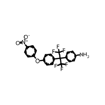 Nc1ccc(C(c2ccc(Oc3ccc([N+](=O)[O-])cc3)cc2)(C(F)(F)F)C(F)(F)F)cc1